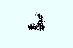 CC(=O)N1CCC(C(=O)N2CC[C@H](NCc3cc(-n4nnnc4C(F)(F)F)ccc3O)C(c3ccccc3)C2)CC1.Cl